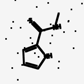 CNC(=S)c1ccc[nH]1